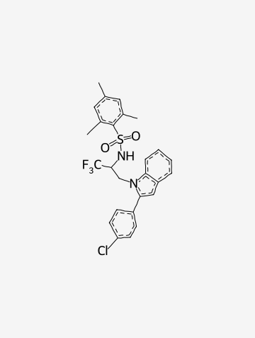 Cc1cc(C)c(S(=O)(=O)NC(Cn2c(-c3ccc(Cl)cc3)cc3ccccc32)C(F)(F)F)c(C)c1